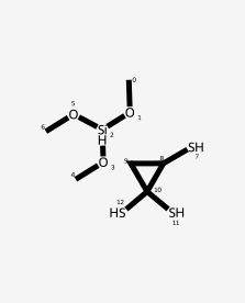 CO[SiH](OC)OC.SC1CC1(S)S